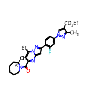 CCOC(=O)c1cn(-c2ccc(-c3cc4nc(C(=O)N5CCCCC[C@H]5C)cc(CC)n4n3)c(F)c2)nc1C